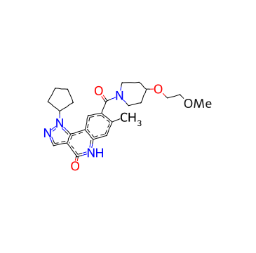 COCCOC1CCN(C(=O)c2cc3c(cc2C)[nH]c(=O)c2cnn(C4CCCC4)c23)CC1